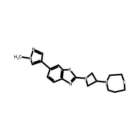 Cn1cc(-c2ccc3nc(N4CC(N5CCCCCC5)C4)sc3c2)cn1